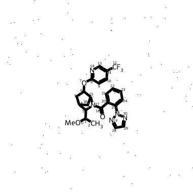 COC(C)C1C2CC(Oc3ccc(C(F)(F)F)cn3)C(C2)N1C(=O)c1ccccc1-n1nccn1